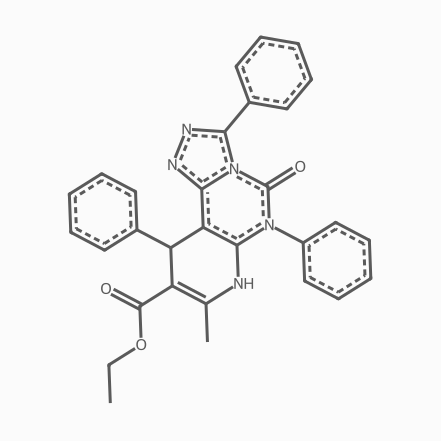 CCOC(=O)C1=C(C)Nc2c(c3nnc(-c4ccccc4)n3c(=O)n2-c2ccccc2)C1c1ccccc1